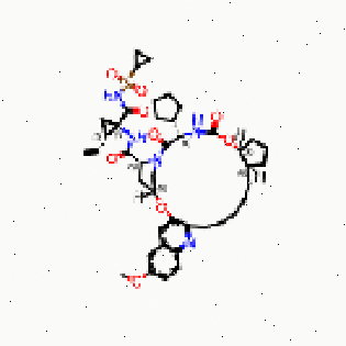 C=C[C@@H]1C[C@]1(NC(=O)[C@@H]1C[C@@H]2CN1C(=O)[C@H](C1CCCC1)NC(=O)O[C@@H]1CCC[C@H]1CCCCCc1nc3ccc(OC)cc3cc1O2)C(=O)NS(=O)(=O)C1CC1